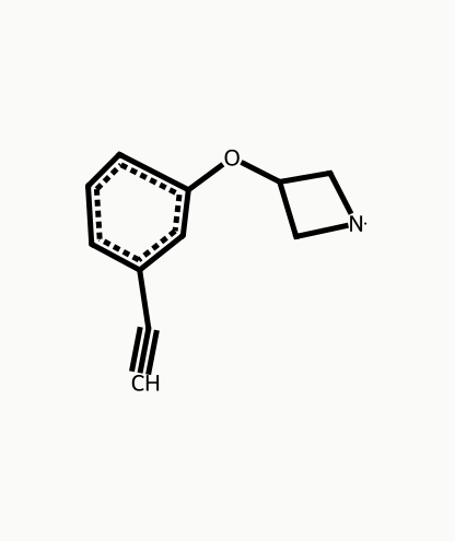 C#Cc1cccc(OC2C[N]C2)c1